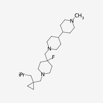 CC(C)CC1(CN2CCC(F)(CN3CCC(C4CCN(C)CC4)CC3)CC2)CC1